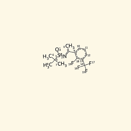 CC(=N[S@+]([O-])C(C)(C)C)c1cccc(C(F)(F)F)c1F